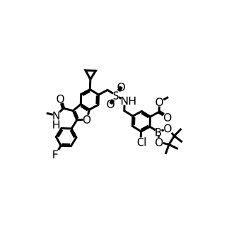 CNC(=O)c1c(-c2ccc(F)cc2)oc2cc(CS(=O)(=O)NCc3cc(Cl)c(B4OC(C)(C)C(C)(C)O4)c(C(=O)OC)c3)c(C3CC3)cc12